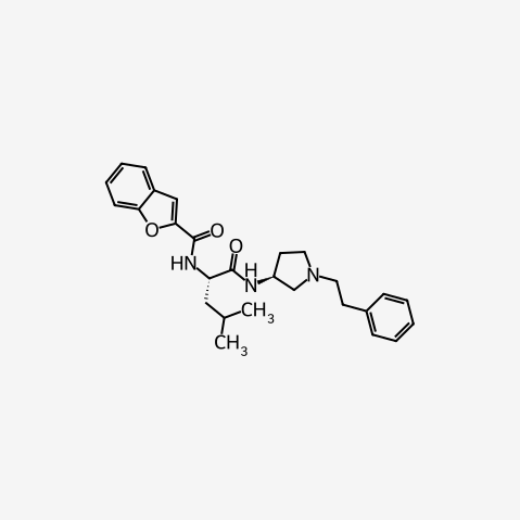 CC(C)C[C@H](NC(=O)c1cc2ccccc2o1)C(=O)N[C@H]1CCN(CCc2ccccc2)C1